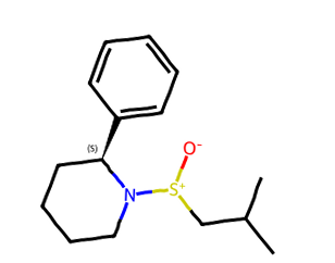 CC(C)C[S+]([O-])N1CCCC[C@H]1c1ccccc1